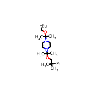 CC(C)C(C)(C)COC(C)(C)N1CCN(C(C)(C)OCC(C)(C)C)CC1